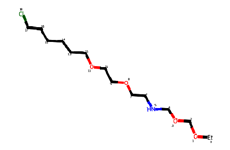 CCOCOCNCCOCCOCCCCCCCl